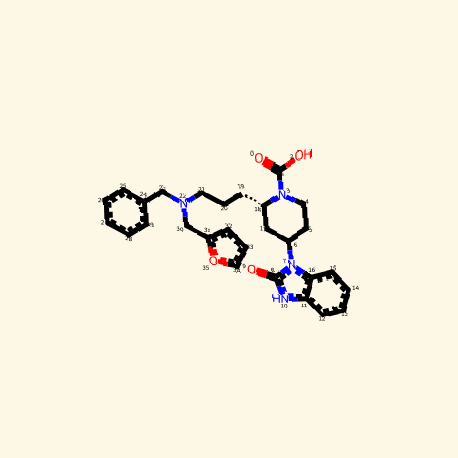 O=C(O)N1CCC(n2c(=O)[nH]c3ccccc32)C[C@@H]1CCCN(Cc1ccccc1)Cc1ccco1